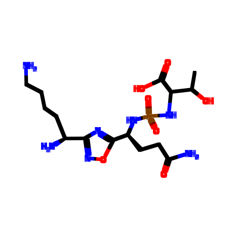 CC(O)C(NS(=O)(=O)N[C@@H](CCC(N)=O)c1nc([C@@H](N)CCCCN)no1)C(=O)O